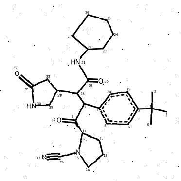 CC(C)(C)c1ccc(C(C(=O)[C@H]2CCCN2C#N)C(C(=O)NC2CCCCC2)C2CNC(=O)C2)cc1